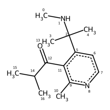 CNC(C)(C)c1ccnc(C)c1C(=O)C(C)C